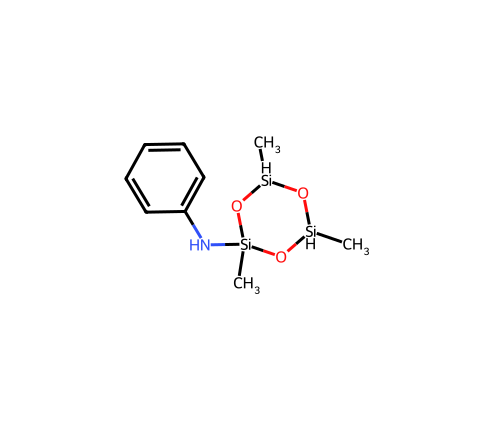 C[SiH]1O[SiH](C)O[Si](C)(Nc2ccccc2)O1